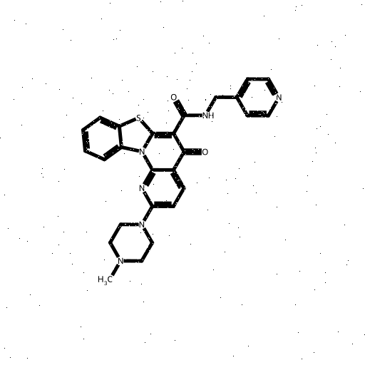 CN1CCN(c2ccc3c(=O)c(C(=O)NCc4ccncc4)c4sc5ccccc5n4c3n2)CC1